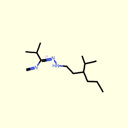 C=N/C(=N\NCCC(CCC)C(C)C)C(C)C